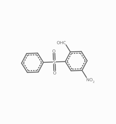 O=Cc1ccc([N+](=O)[O-])cc1S(=O)(=O)c1ccccc1